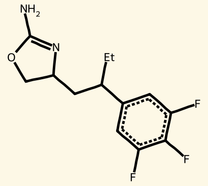 CCC(CC1COC(N)=N1)c1cc(F)c(F)c(F)c1